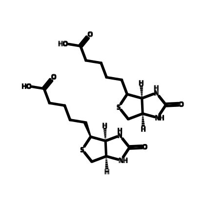 O=C(O)CCCCC1SC[C@@H]2NC(=O)N[C@H]12.O=C(O)CCCC[C@@H]1SC[C@@H]2NC(=O)N[C@@H]21